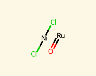 [Cl][Ni][Cl].[O]=[Ru]